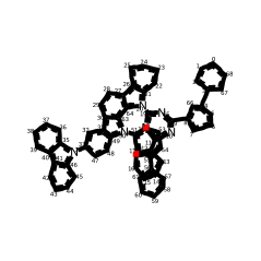 c1ccc(-c2cccc(-c3nc(-c4ccccc4)nc(-n4c5ccccc5c5ccc6c7cc(-n8c9ccccc9c9ccccc98)ccc7n(-c7cccc(-c8ccccc8)c7)c6c54)n3)c2)cc1